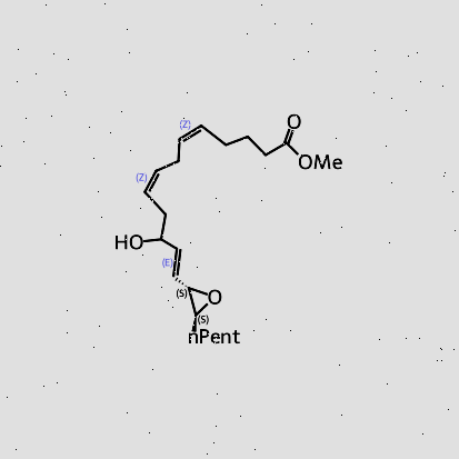 CCCCC[C@@H]1O[C@H]1/C=C/C(O)C/C=C\C/C=C\CCCC(=O)OC